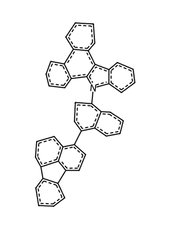 c1ccc2c(c1)-c1cccc3c(-c4ccc(-n5c6ccccc6c6c7ccccc7c7ccccc7c65)c5ccccc45)ccc-2c13